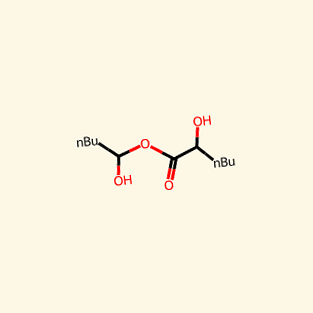 CCCCC(O)OC(=O)C(O)CCCC